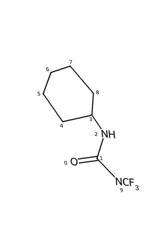 O=C(NC1CCCCC1)NC(F)(F)F